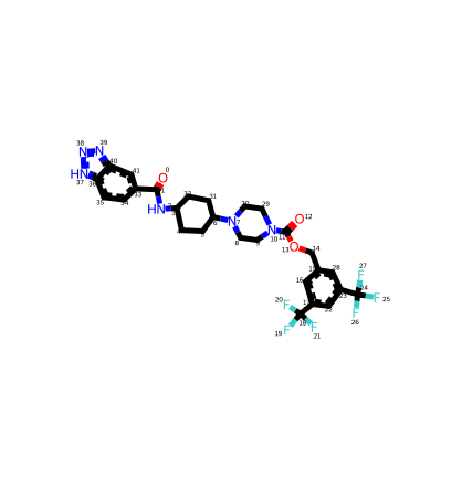 O=C(NC1CCC(N2CCN(C(=O)OCc3cc(C(F)(F)F)cc(C(F)(F)F)c3)CC2)CC1)c1ccc2[nH]nnc2c1